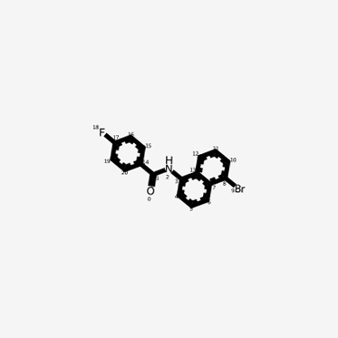 O=C(Nc1cccc2c(Br)cccc12)c1ccc(F)cc1